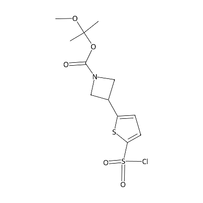 COC(C)(C)OC(=O)N1CC(c2ccc(S(=O)(=O)Cl)s2)C1